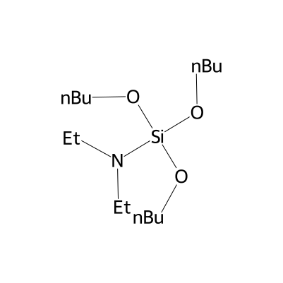 CCCCO[Si](OCCCC)(OCCCC)N(CC)CC